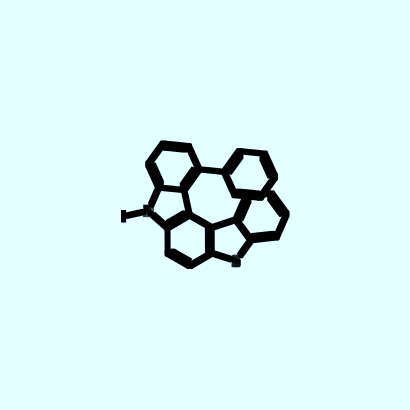 In1c2cccc(-c3ccccc3)c2c2c3c(ccc21)sc1ccccc13